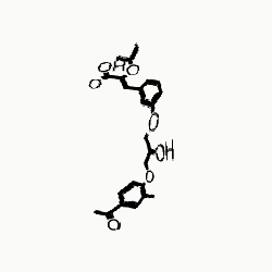 CC(=O)c1ccc(OCC(O)COc2cccc(CC(OC(C)C)C(=O)O)c2)c(C)c1